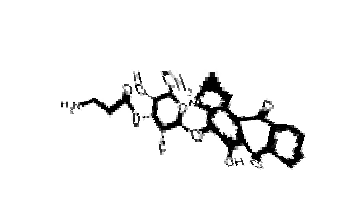 C[C@@H]1O[C@@H](Oc2c(O)c3c(c4cccnc24)C(=O)c2ccccc2C3=O)[C@H](F)[C@H](OC(=O)CCN)[C@@H]1O